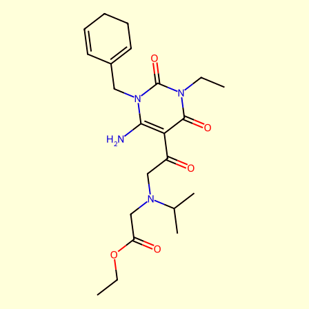 CCOC(=O)CN(CC(=O)c1c(N)n(CC2=CCCC=C2)c(=O)n(CC)c1=O)C(C)C